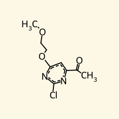 COCCOc1cc(C(C)=O)nc(Cl)n1